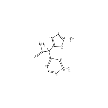 CC(C)c1cnc(N(C(N)=O)c2cccc(Cl)c2)s1